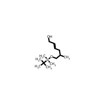 CC(CC=CCO)CO[Si](C)(C)C(C)(C)C